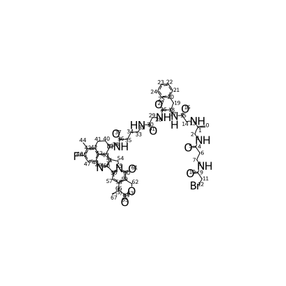 C=C(CNC(=O)CCNC(=O)CBr)NCC(=O)NC(Cc1ccccc1)C(=O)NCC(=O)NCCCC(=O)N[C@H]1CCc2c(C)c(F)cc3nc4c(c1c23)Cn1c-4cc2c(c1=O)COC(=O)[C@H]2C